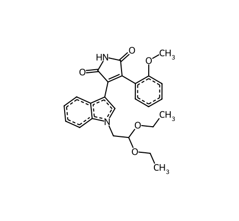 CCOC(Cn1cc(C2=C(c3ccccc3OC)C(=O)NC2=O)c2ccccc21)OCC